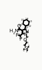 C[Si](C)(C)CCOCn1nc(C2CCCCC2)c(C(N)=O)c1C(F)F